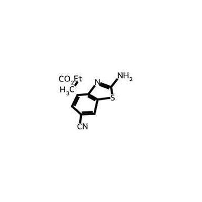 CCOC(C)=O.N#Cc1ccc2nc(N)sc2c1